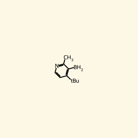 Bc1c(C(C)(C)C)ccnc1C